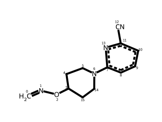 C=NOC1CCN(c2cccc(C#N)n2)CC1